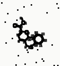 COC(=O)C1=CC=C2CSc3ccccc3C2O1